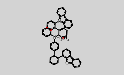 C/C=C\C=C(\c1ccccc1-n1c2ccccc2c2ccccc21)C(C)N(c1ccccc1)c1ccc(-c2ccccc2-c2cccc3c2oc2ccccc23)cc1